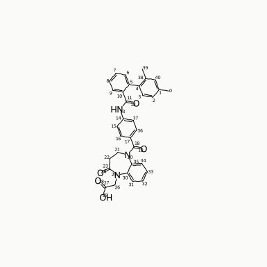 Cc1ccc(-c2ccccc2C(=O)Nc2ccc(C(=O)N3CCC(=O)N(CC(=O)O)c4ccccc43)cc2)c(C)c1